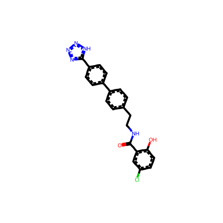 O=C(NCCc1ccc(-c2ccc(-c3nnn[nH]3)cc2)cc1)c1cc(Cl)ccc1O